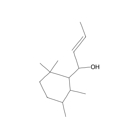 CC=CC(O)C1C(C)C(C)CCC1(C)C